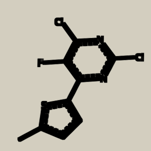 Cc1ccc(-c2nc(Cl)nc(Cl)c2F)s1